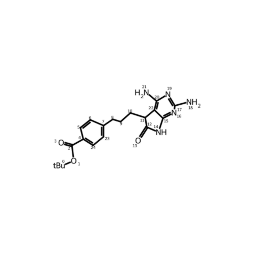 CC(C)(C)OC(=O)c1ccc(CCCC2C(=O)Nc3nc(N)nc(N)c32)cc1